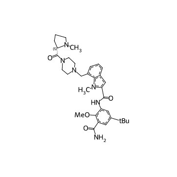 COc1c(NC(=O)c2cc3cccc(CN4CCN(C(=O)[C@@H]5CCCN5C)CC4)c3n2C)cc(C(C)(C)C)cc1C(N)=O